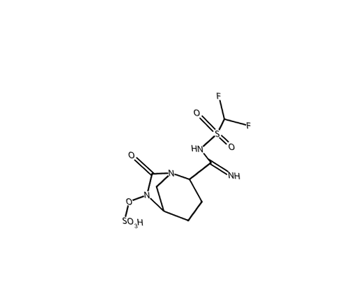 N=C(NS(=O)(=O)C(F)F)C1CCC2CN1C(=O)N2OS(=O)(=O)O